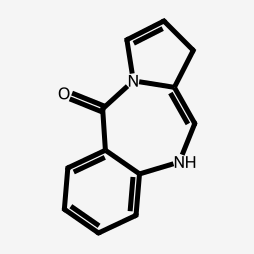 O=C1c2ccccc2NC=C2CC=CN12